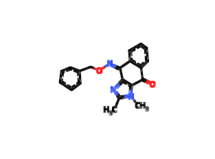 Cc1nc2c(n1C)C(=O)c1ccccc1/C2=N/OCc1ccccc1